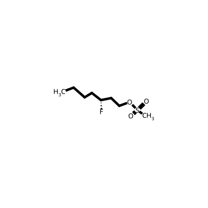 CCCC[C@@H](F)CCOS(C)(=O)=O